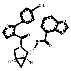 Cc1ccc(-c2sccc2C(=O)N2C[C@@H]3C[C@@H]3[C@H]2CNC(=O)c2cccc3ocnc23)cc1